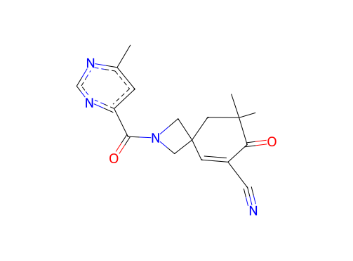 Cc1cc(C(=O)N2CC3(C=C(C#N)C(=O)C(C)(C)C3)C2)ncn1